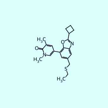 CCSCc1cc(-c2cc(C)c(=O)n(C)c2)c2oc(C3CCC3)nc2c1